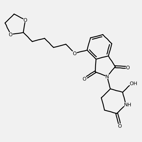 O=C1CCC(N2C(=O)c3cccc(OCCCCC4OCCO4)c3C2=O)C(O)N1